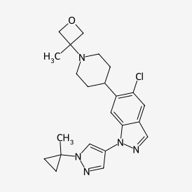 CC1(N2CCC(c3cc4c(cnn4-c4cnn(C5(C)CC5)c4)cc3Cl)CC2)COC1